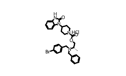 C[C@@H](COC(=O)N1CCC(n2c(=O)[nH]c3ccccc32)CC1)N(Cc1ccccc1)Cc1ccc(Br)cc1.Cl